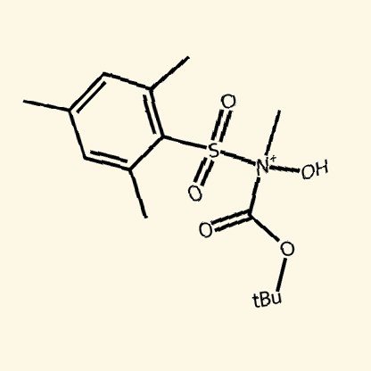 Cc1cc(C)c(S(=O)(=O)[N+](C)(O)C(=O)OC(C)(C)C)c(C)c1